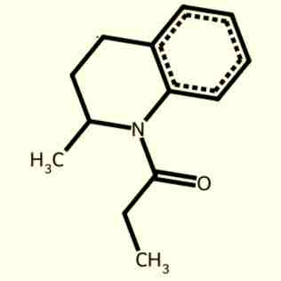 CCC(=O)N1c2ccccc2[CH]CC1C